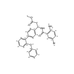 COC(=O)CC(NC(=O)c1cc(Br)ccc1N)c1ccc(-c2ccccc2Oc2ccccc2)cc1